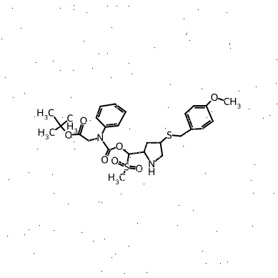 COc1ccc(CSC2CNC(C(OC(=O)N(CC(=O)OC(C)(C)C)c3ccccc3)S(C)(=O)=O)C2)cc1